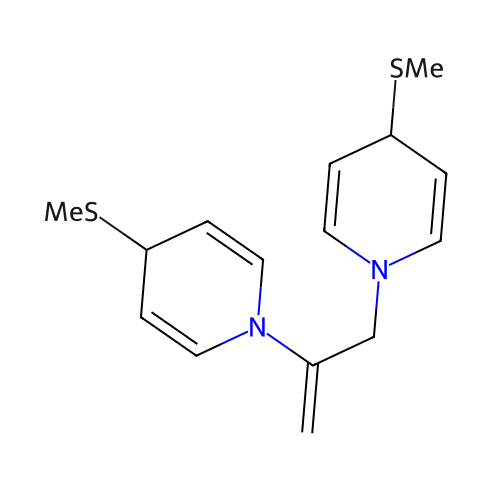 C=C(CN1C=CC(SC)C=C1)N1C=CC(SC)C=C1